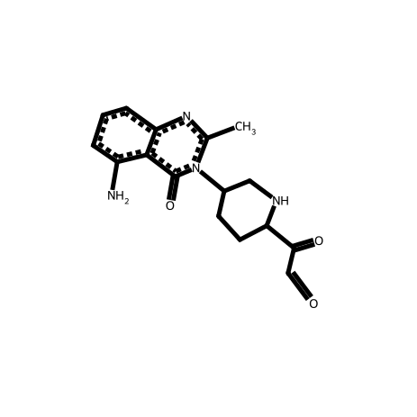 Cc1nc2cccc(N)c2c(=O)n1C1CCC(C(=O)C=O)NC1